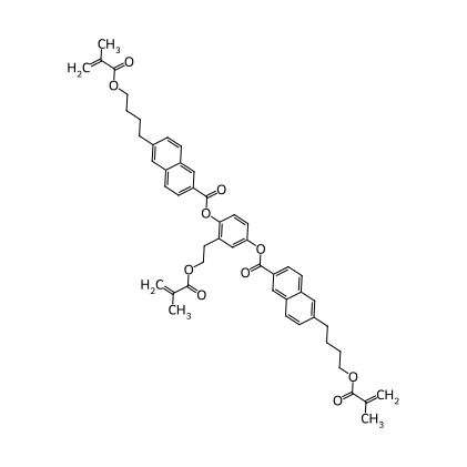 C=C(C)C(=O)OCCCCc1ccc2cc(C(=O)Oc3ccc(OC(=O)c4ccc5cc(CCCCOC(=O)C(=C)C)ccc5c4)c(CCOC(=O)C(=C)C)c3)ccc2c1